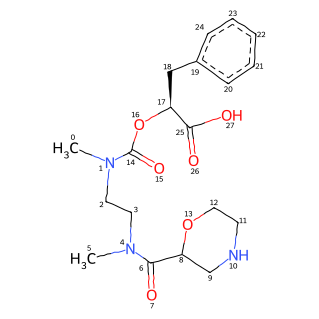 CN(CCN(C)C(=O)C1CNCCO1)C(=O)O[C@@H](Cc1ccccc1)C(=O)O